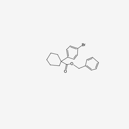 O=C(OCc1ccccc1)C1(c2ccc(Br)cc2)CCCCC1